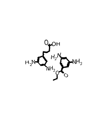 CCOC(=O)c1cc(N)cc(N)c1.Nc1cc(N)cc(CCC(=O)O)c1